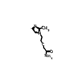 Cc1n[c]cn1CCCCC(N)=O